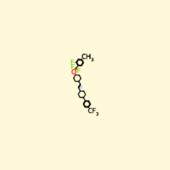 Cc1ccc(C(F)(F)OC2CCC(/C=C/C3CCC(c4ccc(C(F)(F)F)cc4)CC3)CC2)c(F)c1